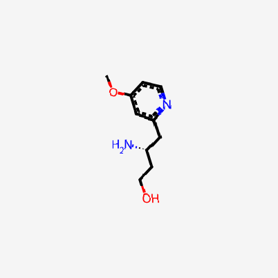 COc1ccnc(C[C@@H](N)CCO)c1